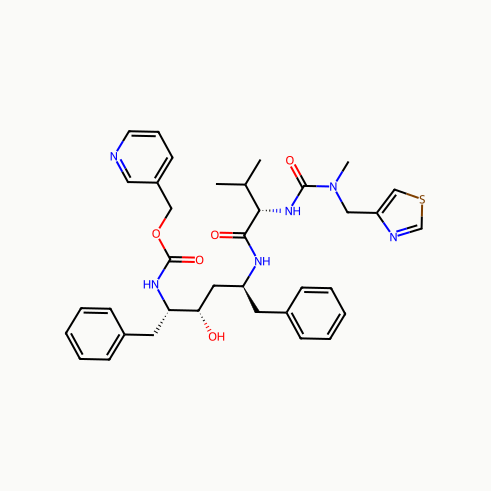 CC(C)[C@H](NC(=O)N(C)Cc1cscn1)C(=O)N[C@@H](Cc1ccccc1)C[C@H](O)[C@H](Cc1ccccc1)NC(=O)OCc1cccnc1